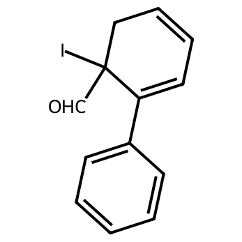 O=CC1(I)CC=CC=C1c1ccccc1